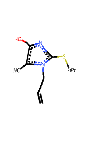 C=CCn1c(SCCC)nc(O)c1C#N